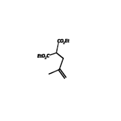 C=C(C)CC(C(=O)OCC)C(=O)OCC